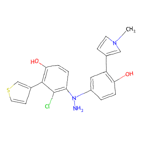 Cn1ccc(-c2cc(N(N)c3ccc(O)c(-c4ccsc4)c3Cl)ccc2O)c1